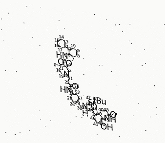 CC1(OC(=O)Nc2ccccc2-c2ccccc2)CCN(CCC(=O)Nc2ccc(CNC[C@@H](O[Si](C)(C)C(C)(C)C)c3ccc(O)c4[nH]c(=O)ccc34)cc2)CC1